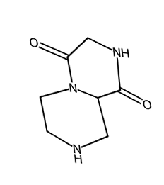 O=C1NCC(=O)N2CCNCC12